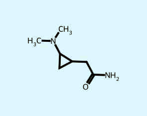 CN(C)C1CC1CC(N)=O